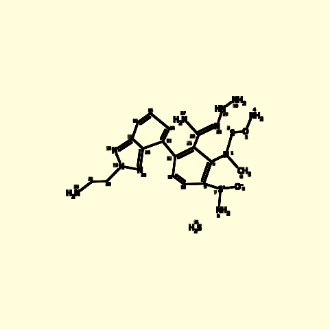 CN(SON)c1c([S+](N)[O-])ccc(-c2cccc3nn(CCN)nc23)c1/C(N)=N/NN.S